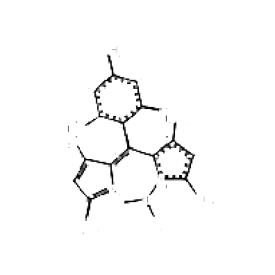 CC1=CC(C)=N/C1=C(/c1c(C)cc(C)cc1C)c1c(C)cc(C)n1B(F)F